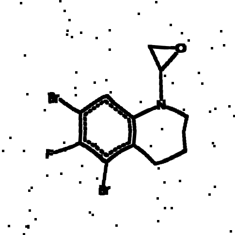 Fc1c(Br)cc2c(c1Br)CCCN2C1CO1